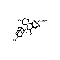 CCCSc1ncc(C(=O)N[C@H]2C3CC4CC2C[C@@](O)(C4)C3)c(N2CCN(C(C)=O)CC2)n1